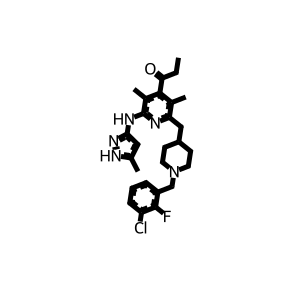 CCC(=O)c1c(C)c(CC2CCN(Cc3cccc(Cl)c3F)CC2)nc(Nc2cc(C)[nH]n2)c1C